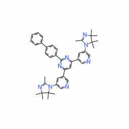 CC1=NC(C)(C)C(C)(C)N1c1cncc(-c2cc(-c3cncc(N4C(C)=NC(C)(C)C4(C)C)c3)nc(-c3ccc(-c4ccccc4)cc3)n2)c1